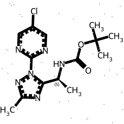 Cc1nc([C@H](C)NC(=O)OC(C)(C)C)n(-c2ncc(Cl)cn2)n1